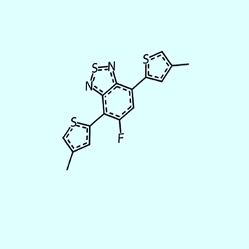 Cc1csc(-c2cc(F)c(-c3cc(C)cs3)c3nsnc23)c1